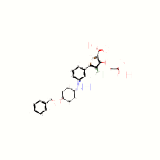 O=C(O)COc1c(C(=O)O)sc(-c2cccc(N[C@H]3CC[C@@H](OCc4ccccc4)CC3)c2)c1Cl